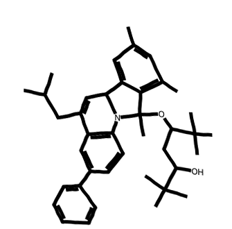 Cc1cc(C)c2c(c1)C1C=C(CC(C)C)c3cc(-c4ccccc4)ccc3N1C2(C)OC(CC(O)C(C)(C)C)C(C)(C)C